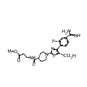 COC(=O)CCNC(=O)C1CCN(c2nc(-c3ccc(C(=N)N)cc3F)c(C(=O)O)s2)CC1